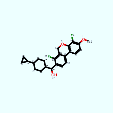 CCOc1ccc2c(c1F)OCc1c-2ccc(C(O)C2CCC(C3CC3)CC2)c1F